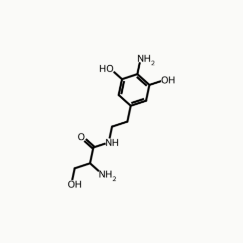 Nc1c(O)cc(CCNC(=O)C(N)CO)cc1O